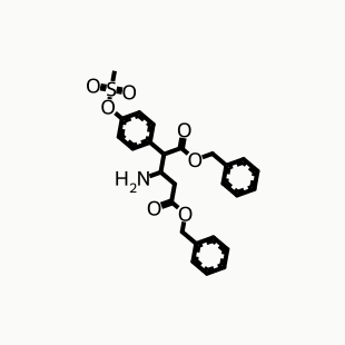 CS(=O)(=O)Oc1ccc(C(C(=O)OCc2ccccc2)C(N)CC(=O)OCc2ccccc2)cc1